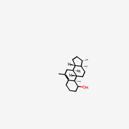 CC1=C2CCCC(O)[C@]2(C)[C@H]2CC[C@]3(C)[C@@H](C)CC[C@H]3[C@@H]2C1